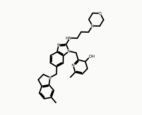 CC1=CCC(O)C(Cn2c(NCCCN3CCOCC3)nc3ccc(CN4CCc5ccc(C)cc54)cc32)=N1